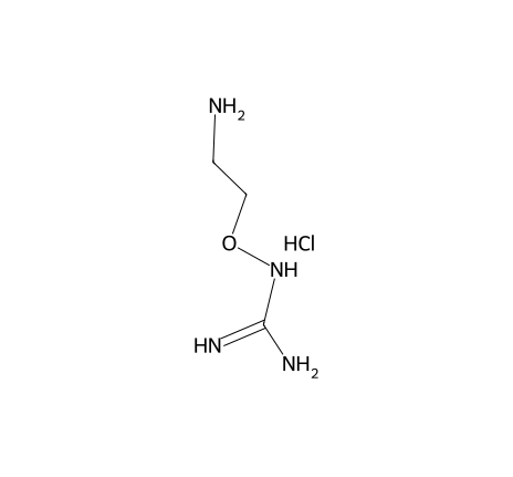 Cl.N=C(N)NOCCN